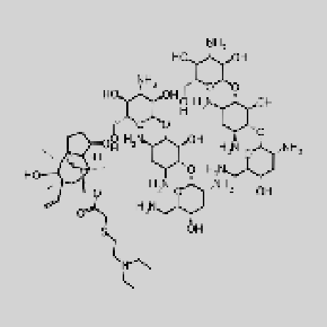 C=C[C@]1(C)C[C@@H](OC(=O)CSCCN(CC)CC)[C@@]2(C)C(C)CC[C@]3(CCC(=O)[C@H]32)[C@@H](C)[C@@H]1O.NC[C@H]1O[C@H](O[C@H]2[C@H](O)[C@@H](O[C@H]3O[C@H](CO)[C@@H](O)[C@H](N)[C@H]3O)[C@H](N)C[C@@H]2N)[C@H](N)C[C@@H]1O.NC[C@H]1O[C@H](O[C@H]2[C@H](O)[C@@H](O[C@H]3O[C@H](CO)[C@@H](O)[C@H](N)[C@H]3O)[C@H](N)C[C@@H]2N)[C@H](N)C[C@@H]1O